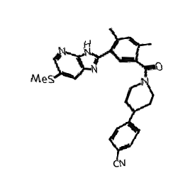 CSc1cnc2[nH]c(-c3cc(C(=O)N4CCC(c5ccc(C#N)cc5)CC4)c(C)cc3C)nc2c1